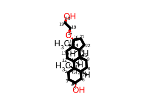 C[C@]12CC[C@@H](O)C[C@@H]1CC[C@@H]1[C@@H]2CC[C@]2(C)[C@@H](OCCO)CC[C@@H]12